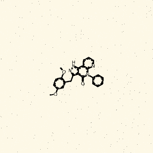 COc1ccc(OC)c(Cc2n[nH]c3c2c(=O)n(-c2ccccc2)c2ncccc32)c1